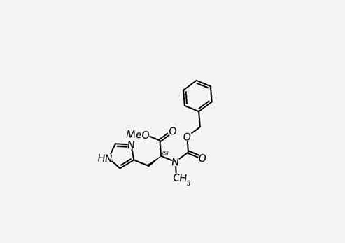 COC(=O)[C@H](Cc1c[nH]cn1)N(C)C(=O)OCc1ccccc1